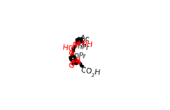 CCCc1c(OCC(O)COc2ccc3c(=O)cc(CCCC(=O)O)oc3c2CCC)ccc(C(C)=O)c1O